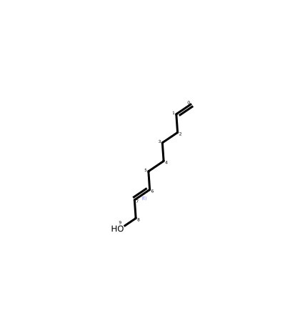 C=CCCCC/C=C/CO